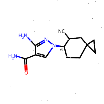 N#CC1CC2(CC[C@H]1n1cc(C(N)=O)c(N)n1)CC2